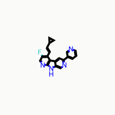 Fc1cnc2[nH]c3cnc(-c4cccnc4)cc3c2c1/C=C/C1CC1